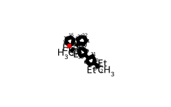 CCC(C)(CC)c1ccc(-c2ccc([Si](c3ccccc3)(c3ccccc3)C(C)(CC)CC)cc2)cc1